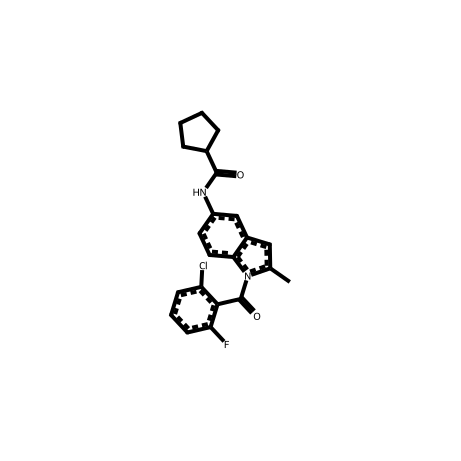 Cc1cc2cc(NC(=O)C3CCCC3)ccc2n1C(=O)c1c(F)cccc1Cl